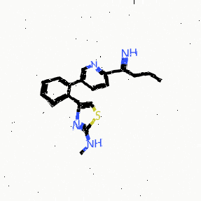 CCCC(=N)c1ccc(-c2ccccc2-c2csc(NC)n2)cn1